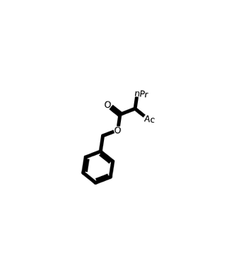 CCCC(C(C)=O)C(=O)OCc1ccccc1